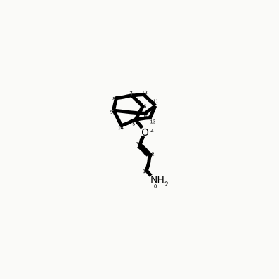 NCC=COC12CC3CC(CC(C3)C1)C2